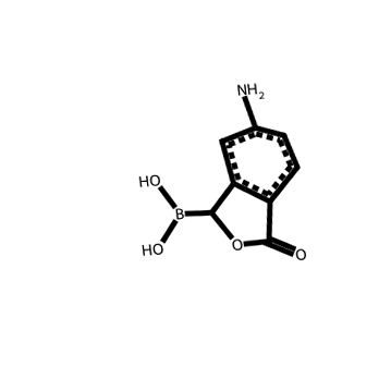 Nc1ccc2c(c1)C(B(O)O)OC2=O